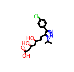 CC(C)n1nnc(-c2ccc(Cl)cc2)c1C=CC(O)CC(O)CC(=O)O